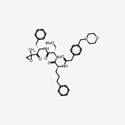 COC[C@H](NC(=O)[C@H](CCCc1ccccc1)NC(=O)Cc1ccc(CN2CCOCC2)cc1)C(=O)N[C@@H](Cc1ccccc1)C(=O)[C@@]1(C)CO1